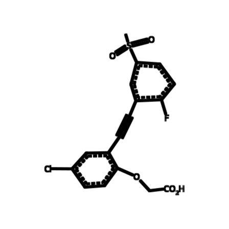 CS(=O)(=O)c1ccc(F)c(C#Cc2cc(Cl)ccc2OCC(=O)O)c1